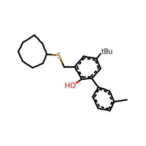 Cc1cccc(-c2cc(C(C)(C)C)cc(CSC3CCCCCCC3)c2O)c1